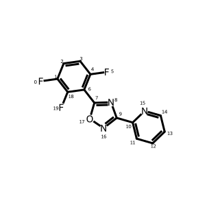 Fc1ccc(F)c(-c2nc(-c3ccccn3)no2)c1F